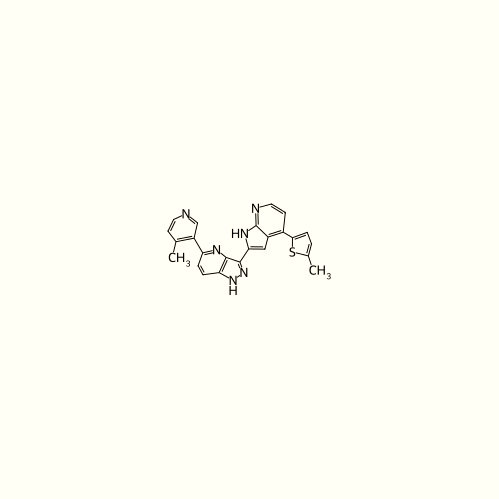 Cc1ccc(-c2ccnc3[nH]c(-c4n[nH]c5ccc(-c6cnccc6C)nc45)cc23)s1